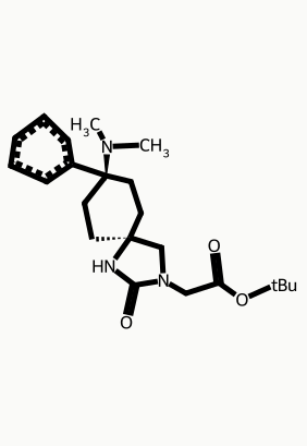 CN(C)[C@]1(c2ccccc2)CC[C@]2(CC1)CN(CC(=O)OC(C)(C)C)C(=O)N2